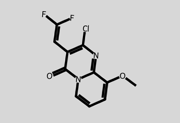 COc1cccn2c(=O)c(C=C(F)F)c(Cl)nc12